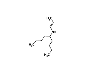 CC=CNC(CCCC)CCCC